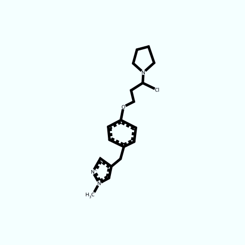 Cn1cc(Cc2ccc(OCCC(Cl)N3CCCC3)cc2)cn1